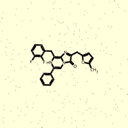 Cc1ccc(Cc2nc3c(Cc4cccc(F)c4F)[nH]c(-c4ccccc4)cn-3c2=O)o1